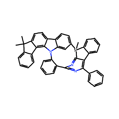 CC1(C)c2ccccc2-c2c1ccc1c3ccc4cc3n(c21)-c1ccccc1-c1nc(-c2ccccc2)c2c(n1)[Si]4(C)c1ccccc1-2